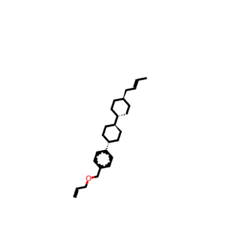 C=CCOCc1ccc([C@H]2CC[C@H]([C@H]3CC[C@H](CC=CC)CC3)CC2)cc1